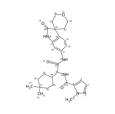 Cn1nccc1C(=O)NC(C(=O)Nc1ccc2c(c1)NC(=O)C21CCOCC1)C1CCC(C)(C)CC1